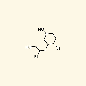 CCC(CO)CC1CC(O)CC[C@@H]1CC